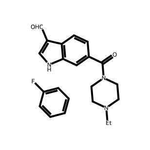 CCN1CCN(C(=O)c2ccc3c(C=O)c[nH]c3c2)CC1.Fc1ccccc1